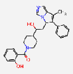 CC1=C(c2ccccc2)C(CC(O)C2CCN(C(=O)c3ccccc3O)CC2)n2cncc21